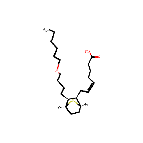 CCCCCCOCCCC[C@H]1[C@@H](C/C=C\CCCC(=O)O)[C@H]2CC[C@@H]1S2